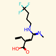 C=C/C(=C\C(=N/C)NCCCC(F)(F)F)C(=O)O